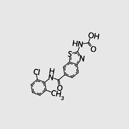 Cc1cccc(Cl)c1NC(=O)c1ccc2nc(NC(=O)O)sc2c1